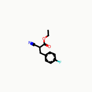 CCOC(=O)C(C#N)Cc1ccc(F)cc1